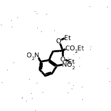 CCOC(=O)C(Cc1c([N+](=O)[O-])cccc1[N+](=O)[O-])(OCC)OCC